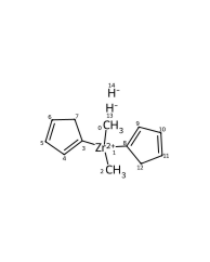 [CH3][Zr+2]([CH3])([C]1=CC=CC1)[C]1=CC=CC1.[H-].[H-]